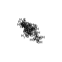 C=C(N)C[C@H](NC(=O)CNC(=O)[C@H](CC(C)C)NC(=O)[C@H](CCCNC(=N)N)NC(=O)[C@H](CCC(N)=O)NC(=O)c1ccc(NC(=O)CNC(=O)CN2CCN(CC(=O)O)CCN(CC(=O)O)CCN(CC(=O)O)CC2)cc1)C(=O)N[C@@H](CCC(N)=O)C(=O)N[C@@H](Cc1c[nH]c2ccccc12)C(=O)N[C@@H](C)C(=O)N[C@H](C(=O)NCC(=O)N[C@@H](Cc1c[nH]cn1)C(=O)N[C@@H](CC(C)C)C(=O)N[C@@H](CCSC)C(N)=O)C(C)C